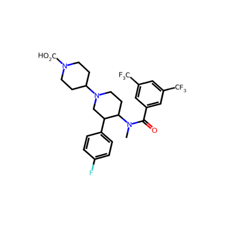 CN(C(=O)c1cc(C(F)(F)F)cc(C(F)(F)F)c1)C1CCN(C2CCN(C(=O)O)CC2)CC1c1ccc(F)cc1